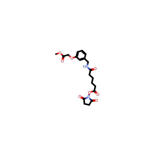 COC(=O)COc1cccc(CNC(=O)CCCCC(=O)ON2C(=O)CCC2=O)c1